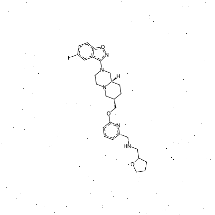 Fc1ccc2onc(N3CCN4C[C@H](COc5cccc(CNCC6CCCO6)n5)CC[C@H]4C3)c2c1